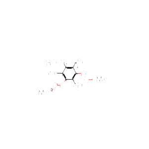 CSOOc1c(C(C)C)c(OOSC)c(C(C)C)c(S(=O)(=O)O)c1C(C)C